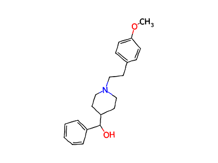 COc1ccc(CCN2CCC(C(O)c3ccccc3)CC2)cc1